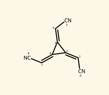 N#CC=C1C(=CC#N)C1=CC#N